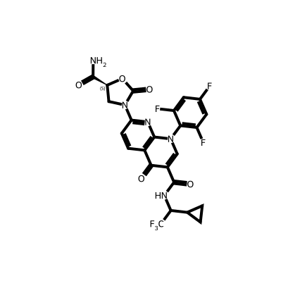 NC(=O)[C@@H]1CN(c2ccc3c(=O)c(C(=O)NC(C4CC4)C(F)(F)F)cn(-c4c(F)cc(F)cc4F)c3n2)C(=O)O1